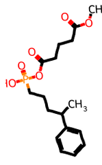 COC(=O)CCCC(=O)OP(=O)(O)CCCC(C)c1ccccc1